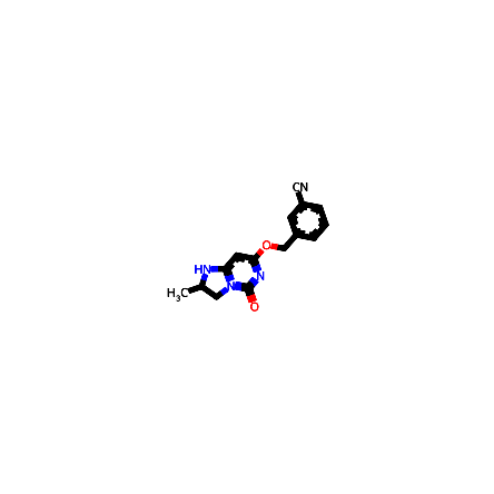 CC1Cn2c(cc(OCc3cccc(C#N)c3)nc2=O)N1